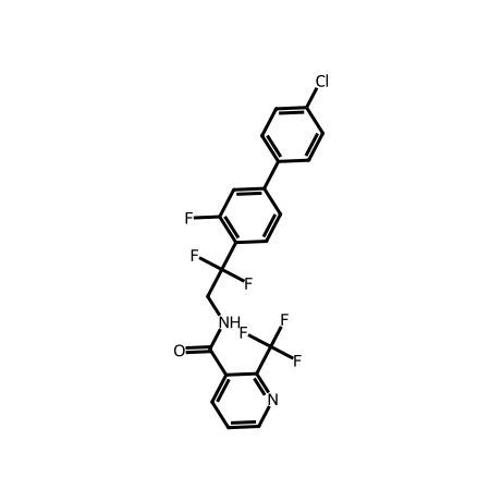 O=C(NCC(F)(F)c1ccc(-c2ccc(Cl)cc2)cc1F)c1cccnc1C(F)(F)F